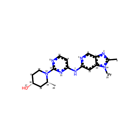 Cc1nc2cnc(Nc3ccnc(N4CC[C@@H](O)C[C@H]4C)n3)cc2n1C(C)C